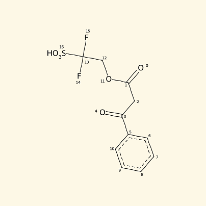 O=C(CC(=O)c1ccccc1)OCC(F)(F)S(=O)(=O)O